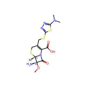 CO[C@@]1(N)C(=O)N2C(C(=O)O)=C(CSc3nnc(N(C)C)s3)CS[C@H]21